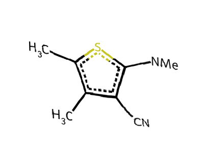 CNc1sc(C)c(C)c1C#N